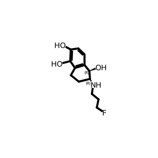 Oc1ccc2c(c1O)CC[C@@H](NCCCF)[C@@H]2O